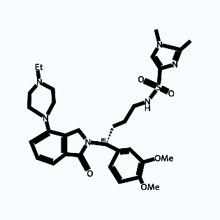 CCN1CCN(c2cccc3c2CN([C@H](CCCNS(=O)(=O)c2cn(C)c(C)n2)c2ccc(OC)c(OC)c2)C3=O)CC1